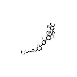 C=CCCOCC1COC(c2ccc(-c3ccc(C(F)(F)Oc4cc(F)c(F)c(F)c4)c(Cl)c3)c(F)c2)SC1